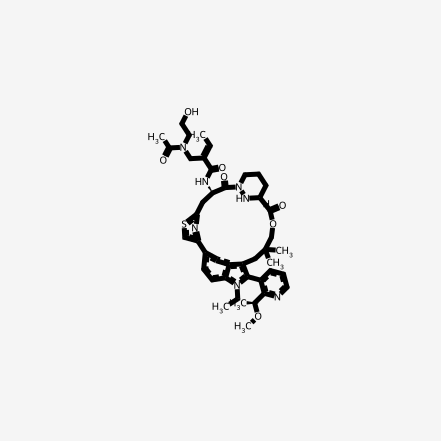 C/C=C(\CN(CCO)C(C)=O)C(=O)N[C@H]1Cc2nc(cs2)-c2ccc3c(c2)c(c(-c2cccnc2[C@H](C)OC)n3CC)CC(C)(C)COC(=O)[C@@H]2CCCN(N2)C1=O